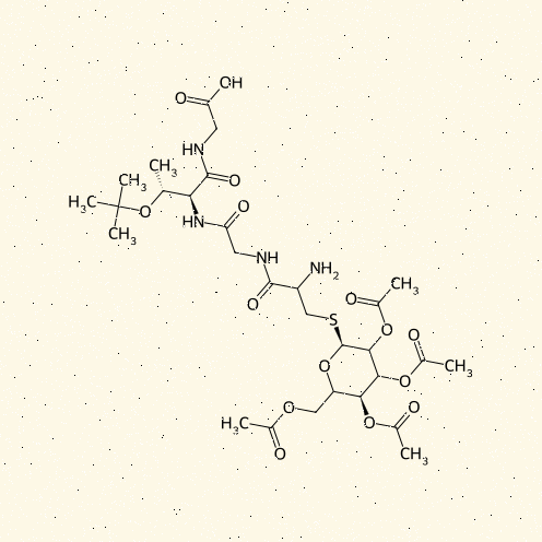 CC(=O)OCC1O[C@@H](SCC(N)C(=O)NCC(=O)N[C@H](C(=O)NCC(=O)O)[C@@H](C)OC(C)(C)C)C(OC(C)=O)C(OC(C)=O)[C@H]1OC(C)=O